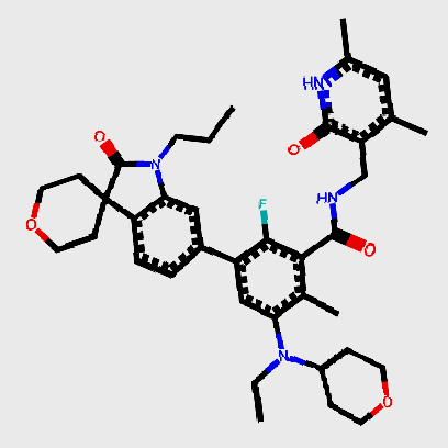 CCCN1C(=O)C2(CCOCC2)c2ccc(-c3cc(N(CC)C4CCOCC4)c(C)c(C(=O)NCc4c(C)cc(C)[nH]c4=O)c3F)cc21